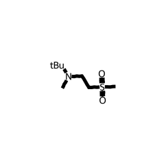 CN(CCS(C)(=O)=O)C(C)(C)C